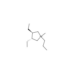 CCC[N+]1(C)C[C@H](CC)[C@@H](CC)C1